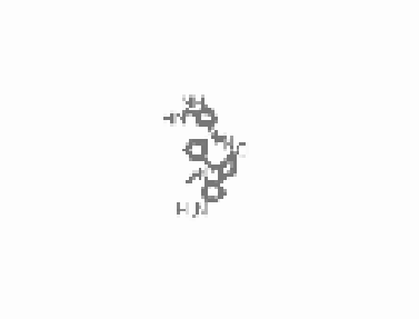 CC[n+]1c2c3cc(ccc3c3ccc(N)cc31)N=NN(c1cccc(C(=N)N)c1)c1cccc-2c1.[Cl-]